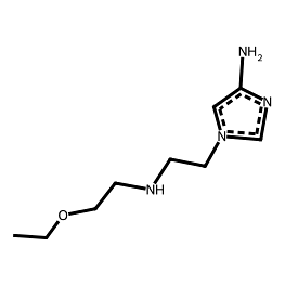 CCOCCNCCn1cnc(N)c1